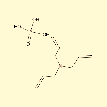 C=CCN(CC=C)CC=C.O=P(O)(O)O